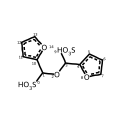 O=S(=O)(O)C(OC(c1ccco1)S(=O)(=O)O)c1ccco1